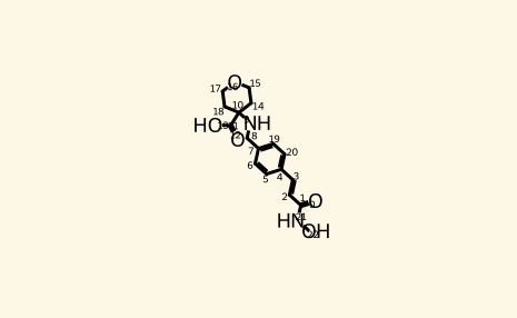 O=C(C=Cc1ccc(CNC2(C(=O)O)CCOCC2)cc1)NO